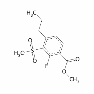 CCCc1ccc(C(=O)OC)c(F)c1S(C)(=O)=O